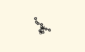 c1ccc(-c2ccc(-c3nc(-c4cccc(-c5ccc6ccc(-c7ccccc7)cc6c5)c4)nc(-c4cccc5oc6ccccc6c45)n3)cc2)cc1